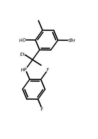 CCC(C)(Pc1ccc(F)cc1F)c1cc(C(C)(C)C)cc(C)c1O